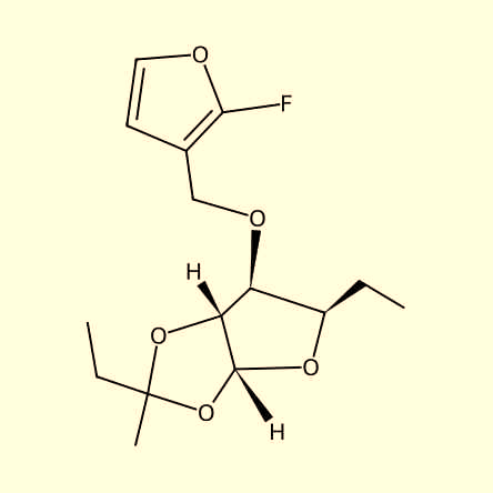 CC[C@H]1O[C@@H]2OC(C)(CC)O[C@@H]2[C@H]1OCc1ccoc1F